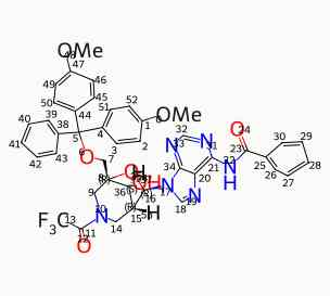 COc1ccc(C(OC[C@@]23CN(C(=O)C(F)(F)F)C[C@@H]([C@H](n4cnc5c(NC(=O)c6ccccc6)ncnc54)O2)[C@@H]3O)(c2ccccc2)c2ccc(OC)cc2)cc1